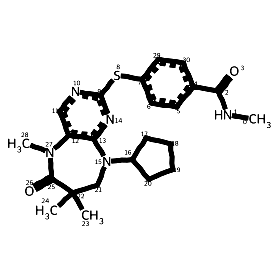 CNC(=O)c1ccc(Sc2ncc3c(n2)N(C2CCCC2)CC(C)(C)C(=O)N3C)cc1